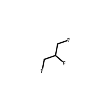 FCC(F)CF